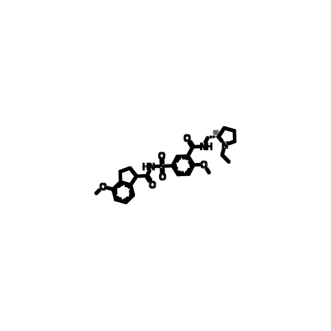 CCN1CCC[C@H]1CNC(=O)c1cc(S(=O)(=O)NC(=O)C2CCc3c(OC)cccc32)ccc1OC